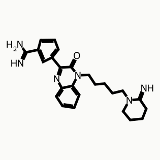 N=C(N)c1cccc(-c2nc3ccccc3n(CCCCCN3CCCCC3=N)c2=O)c1